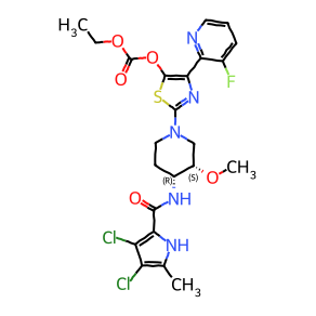 CCOC(=O)Oc1sc(N2CC[C@@H](NC(=O)c3[nH]c(C)c(Cl)c3Cl)[C@@H](OC)C2)nc1-c1ncccc1F